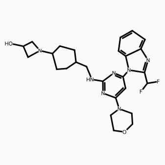 OC1CN(C2CCC(CNc3nc(N4CCOCC4)cc(-n4c(C(F)F)nc5ccccc54)n3)CC2)C1